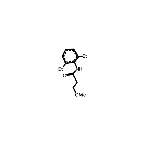 CCc1cccc(CC)c1NC(=O)CCOC